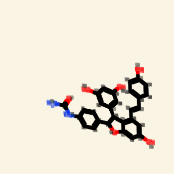 NC(=O)Nc1ccc(C2Oc3cc(O)cc(/C=C/c4ccc(O)cc4)c3[C@@H]2c2cc(O)cc(O)c2)cc1